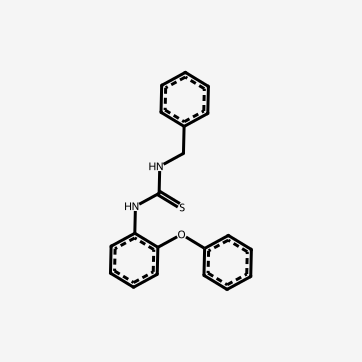 S=C(NCc1ccccc1)Nc1ccccc1Oc1ccccc1